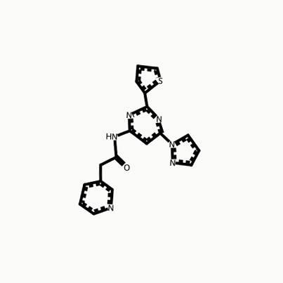 O=C(Cc1cccnc1)Nc1cc(-n2cccn2)nc(-c2cccs2)n1